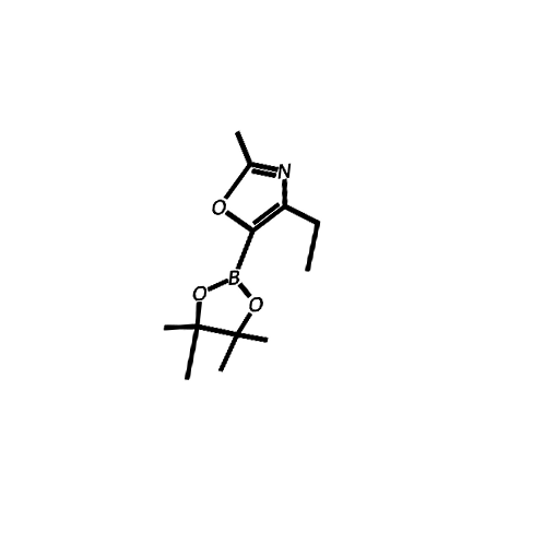 CCc1nc(C)oc1B1OC(C)(C)C(C)(C)O1